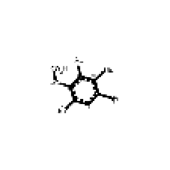 CC(C)c1cc(C(C)(C)C)c(OC(=O)O)c(O)c1C(C)(C)C